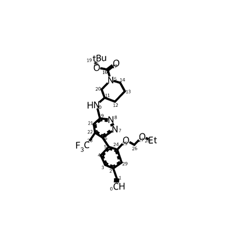 C#Cc1ccc(-c2nnc(NC3CCCN(C(=O)OC(C)(C)C)C3)cc2C(F)(F)F)c(OCOCC)c1